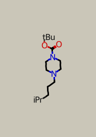 CC(C)CCCN1CCN(C(=O)OC(C)(C)C)CC1